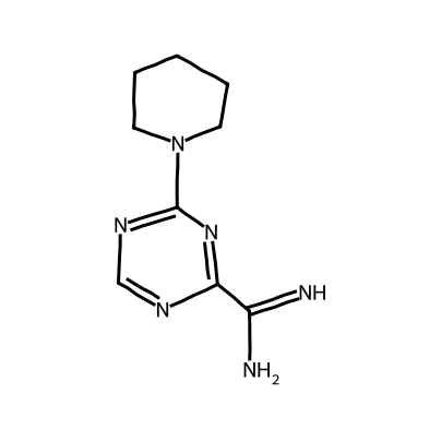 N=C(N)c1ncnc(N2CCCCC2)n1